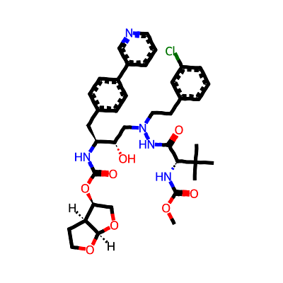 COC(=O)N[C@H](C(=O)NN(CCc1cccc(Cl)c1)C[C@H](O)[C@H](Cc1ccc(-c2cccnc2)cc1)NC(=O)O[C@H]1CO[C@H]2OCC[C@H]21)C(C)(C)C